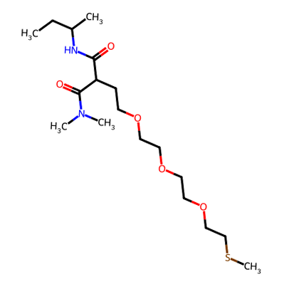 CCC(C)NC(=O)C(CCOCCOCCOCCSC)C(=O)N(C)C